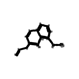 C=C[CH]c1ccc2cccc(OC(F)(F)F)c2n1